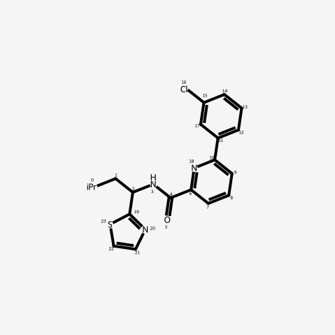 CC(C)CC(NC(=O)c1cccc(-c2cccc(Cl)c2)n1)c1nccs1